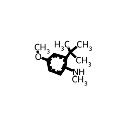 CNc1ccc(OC)cc1C(C)(C)C